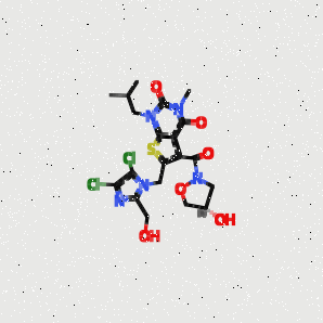 CC(C)Cn1c(=O)n(C)c(=O)c2c(C(=O)N3C[C@H](O)CO3)c(Cn3c(CO)nc(Cl)c3Cl)sc21